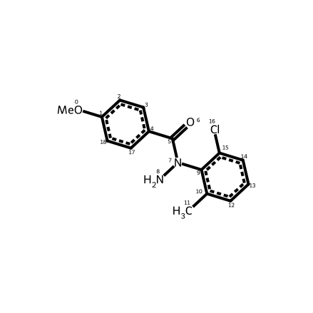 COc1ccc(C(=O)N(N)c2c(C)cccc2Cl)cc1